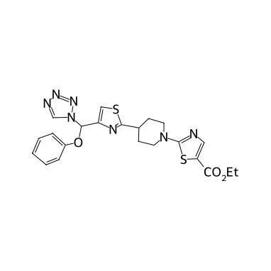 CCOC(=O)c1cnc(N2CCC(c3nc(C(Oc4ccccc4)n4cnnn4)cs3)CC2)s1